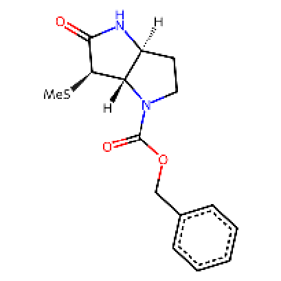 CS[C@H]1C(=O)N[C@H]2CCN(C(=O)OCc3ccccc3)[C@@H]21